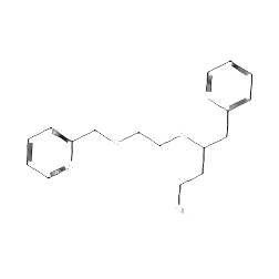 NCCC(Cc1ccccn1)NCCNCc1ccccn1